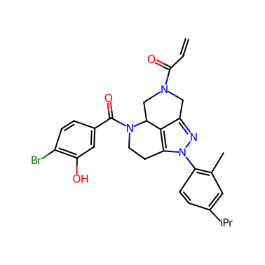 C=CC(=O)N1Cc2nn(-c3ccc(C(C)C)cc3C)c3c2C(C1)N(C(=O)c1ccc(Br)c(O)c1)CC3